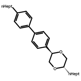 CCCCCCCc1ccc(-c2ccc([C@@H]3CO[C@@H](CCCCCCC)CO3)cc2)cc1